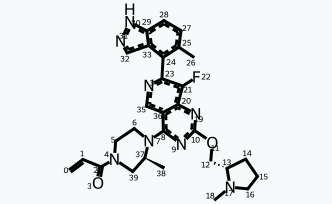 C=CC(=O)N1CCN(c2nc(OC[C@@H]3CCCN3C)nc3c(F)c(-c4c(C)ccc5[nH]ncc45)ncc23)[C@@H](C)C1